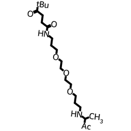 CC(=O)C(C)NCCCOCCOCCOCCCNC(=O)CCC(=O)C(C)(C)C